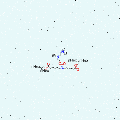 CCCCCCC(CCCCCC)COC(=O)CCCCCN(CCCCCC(=O)OCC(CCCCCC)CCCCCC)C(=O)OCCN(CCN(CC)CC)C(C)C